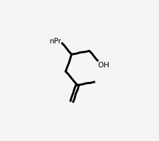 C=C(C)CC(CO)CCC